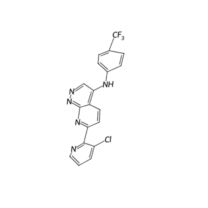 FC(F)(F)c1ccc(Nc2cnnc3nc(-c4ncccc4Cl)ccc23)cc1